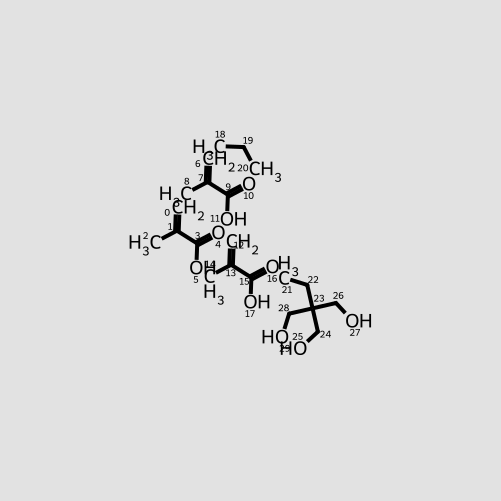 C=C(C)C(=O)O.C=C(C)C(=O)O.C=C(C)C(=O)O.CCC.CCC(CO)(CO)CO